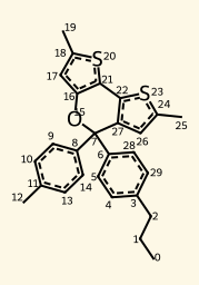 CCCc1ccc(C2(c3ccc(C)cc3)Oc3cc(C)sc3-c3sc(C)cc32)cc1